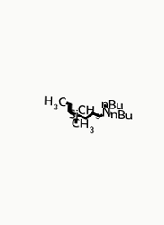 CC=C[Si](C)(C)CCCN(CCCC)CCCC